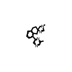 Cc1cncc(-c2cccc3c2CC2(CC3)CN(C)C=N2)n1